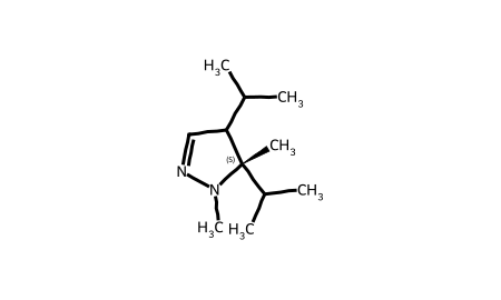 CC(C)C1C=NN(C)[C@@]1(C)C(C)C